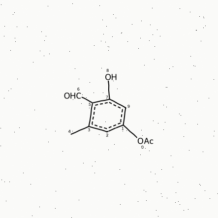 CC(=O)Oc1cc(C)c(C=O)c(O)c1